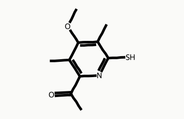 COc1c(C)c(S)nc(C(C)=O)c1C